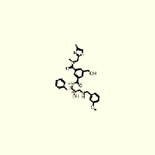 COc1cccc(CNC[C@@H](O)[C@H](Cc2ccccc2)NC(=O)c2cc(CO)cc(C(=O)N(C)Cc3nc(C)cs3)c2)c1